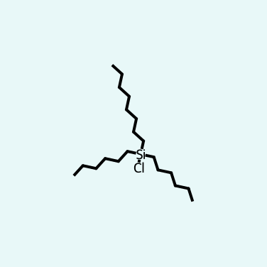 CCCCCCCC[Si](Cl)(CCCCCC)CCCCCC